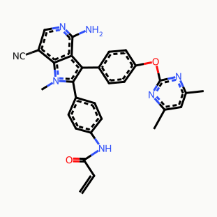 C=CC(=O)Nc1ccc(-c2c(-c3ccc(Oc4nc(C)cc(C)n4)cc3)c3c(N)ncc(C#N)c3n2C)cc1